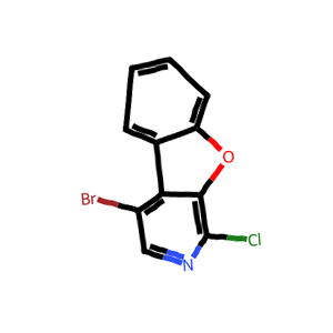 Clc1ncc(Br)c2c1oc1ccccc12